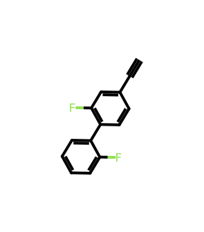 C#Cc1ccc(-c2ccccc2F)c(F)c1